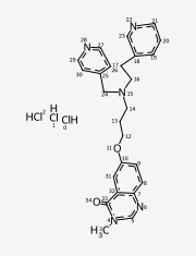 Cl.Cl.Cl.Cn1cnc2ccc(OCCCN(CCc3cccnc3)Cc3ccncc3)cc2c1=O